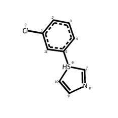 Clc1cccc([SH]2[C]=NC=C2)c1